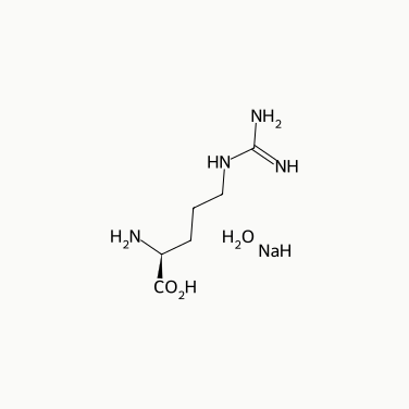 N=C(N)NCCC[C@H](N)C(=O)O.O.[NaH]